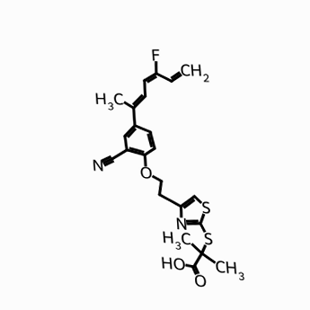 C=C/C(F)=C\C=C(/C)c1ccc(OCCc2csc(SC(C)(C)C(=O)O)n2)c(C#N)c1